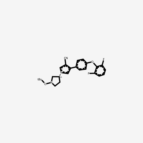 CC(C)(C)ON1CC[C@@H](n2cc(C#N)c(-c3ccc(Oc4c(F)cccc4F)cc3)c2)C1